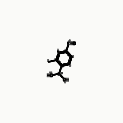 Cc1nc(C=O)ccc1B(O)O